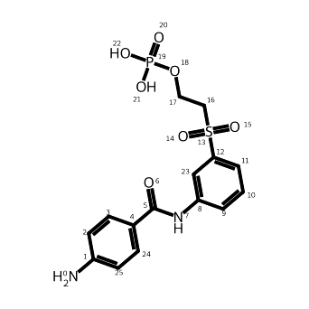 Nc1ccc(C(=O)Nc2cccc(S(=O)(=O)CCOP(=O)(O)O)c2)cc1